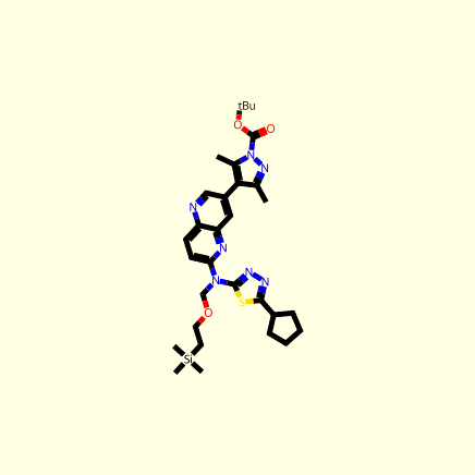 Cc1nn(C(=O)OC(C)(C)C)c(C)c1-c1cnc2ccc(N(COCC[Si](C)(C)C)c3nnc(C4CCCC4)s3)nc2c1